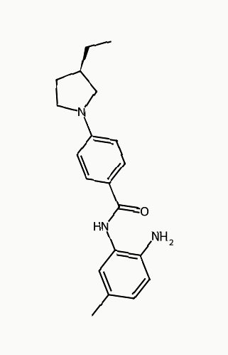 CC[C@@H]1CCN(c2ccc(C(=O)Nc3cc(C)ccc3N)cc2)C1